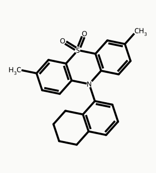 Cc1ccc2c(c1)S(=O)(=O)c1cc(C)ccc1N2c1cccc2c1CCCC2